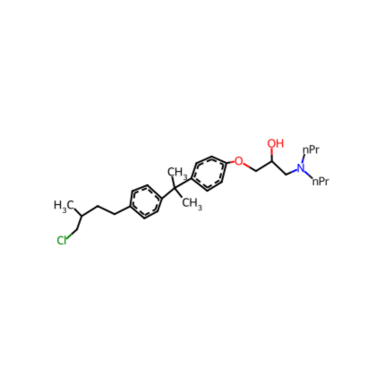 CCCN(CCC)CC(O)COc1ccc(C(C)(C)c2ccc(CCC(C)CCl)cc2)cc1